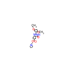 C=CCOc1ccc(OC)c(-c2nc3ccc(C(=O)OCCN4CCCC4)cc3c(=O)[nH]2)c1